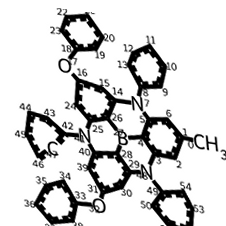 Cc1cc2c3c(c1)N(c1ccccc1)c1cc(Oc4ccccc4)cc4c1B3c1c(cc(Oc3ccccc3)cc1N4c1ccccc1)N2c1ccccc1